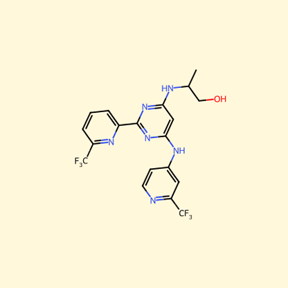 CC(CO)Nc1cc(Nc2ccnc(C(F)(F)F)c2)nc(-c2cccc(C(F)(F)F)n2)n1